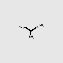 CC(C)C(N)C(=O)O.N